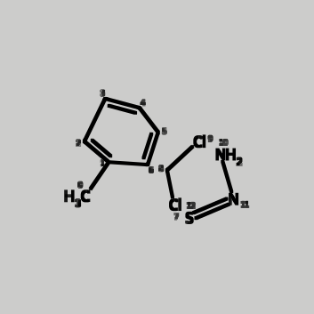 Cc1ccccc1.ClCCl.NN=S